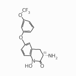 N[C@H]1Cc2cc(Oc3cccc(OC(F)(F)F)c3)ccc2N(O)C1=O